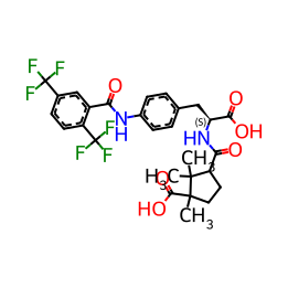 CC1(C(=O)O)CCC(C(=O)N[C@@H](Cc2ccc(NC(=O)c3cc(C(F)(F)F)ccc3C(F)(F)F)cc2)C(=O)O)C1(C)C